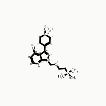 C[Si](C)(C)CCOCn1nc(C2=CCN(C(=O)O)CC2)c2c(Cl)ccnc21